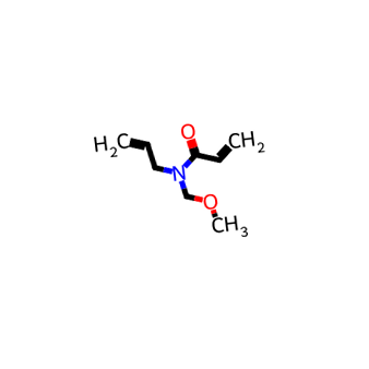 C=CCN(COC)C(=O)C=C